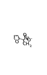 C=C(c1ccco1)[N+](=O)[O-]